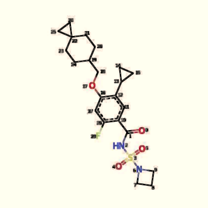 O=C(NS(=O)(=O)N1CCC1)c1cc(C2CC2)c(OCC2CCC3(CC2)CC3)cc1F